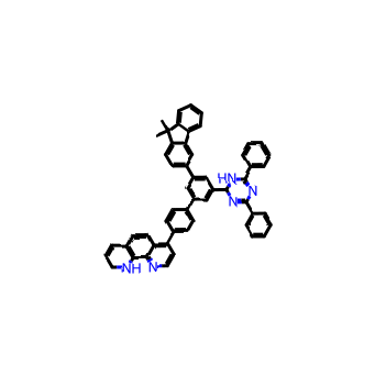 CC1(C)c2ccccc2-c2cc(-c3cc(-c4ccc(-c5ccnc6c7c(ccc56)C=CCN7)cc4)cc(C4N=C(c5ccccc5)N=C(c5ccccc5)N4)c3)ccc21